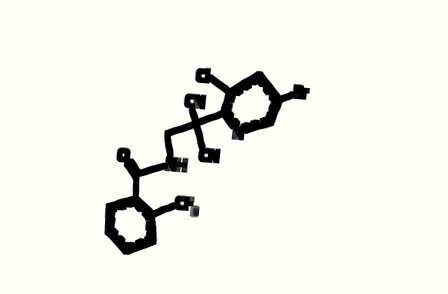 N#CC(C#N)(CNC(=O)c1ccccc1C(F)(F)F)c1ncc(Br)cc1Cl